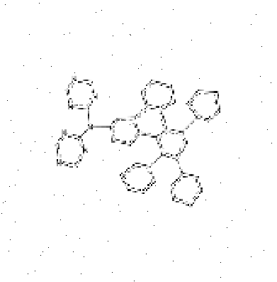 c1ccc(-c2cc(-c3ccccc3)c3c4ccccc4c4cc(N(c5ncncn5)c5ncncn5)ccc4c3c2-c2ccccc2)cc1